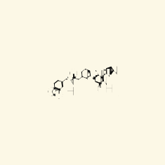 Cc1cc(N2CCCC(CC(=O)NCc3ccc4c(c3)OCO4)C2)nc(-n2ccnc2)n1